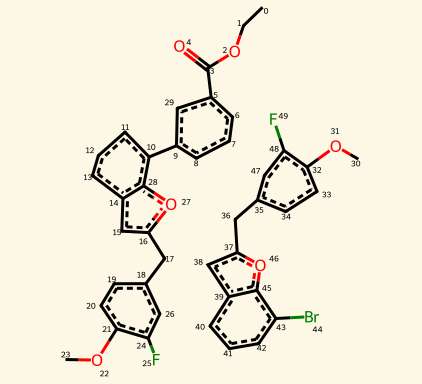 CCOC(=O)c1cccc(-c2cccc3cc(Cc4ccc(OC)c(F)c4)oc23)c1.COc1ccc(Cc2cc3cccc(Br)c3o2)cc1F